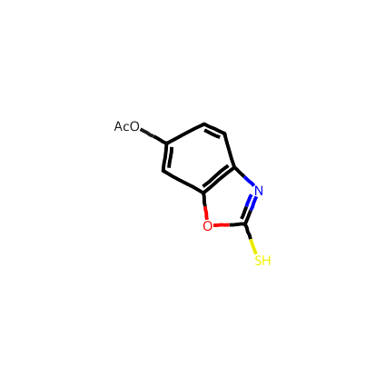 CC(=O)Oc1ccc2nc(S)oc2c1